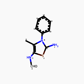 CC1=C(NC=O)SC(N)N1c1ccccc1